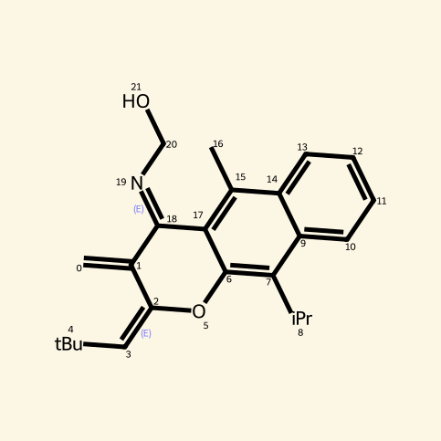 C=c1/c(=C\C(C)(C)C)oc2c(C(C)C)c3ccccc3c(C)c2/c1=N\CO